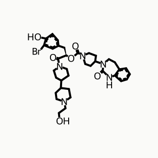 O=C(O[C@H](Cc1ccc(O)c(Br)c1)C(=O)N1CCC(C2CCN(CCO)CC2)CC1)N1CCC(N2CCc3ccccc3NC2=O)CC1